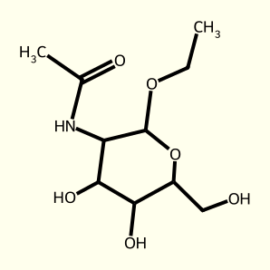 CCOC1OC(CO)C(O)C(O)C1NC(C)=O